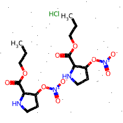 CCCOC(=O)C1NCCC1O[N+](=O)[O-].CCCOC(=O)C1NCCC1O[N+](=O)[O-].Cl